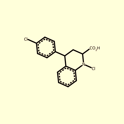 O=C(O)C1CC(c2ccc(Cl)cc2)c2ccccc2N1Cl